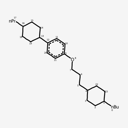 CCCCC1CCC(CCCOc2ccc(C3CCC(CCC)CC3)cc2)CC1